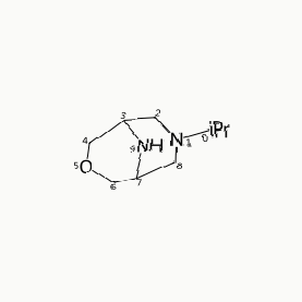 CC(C)N1CC2COCC(C1)N2